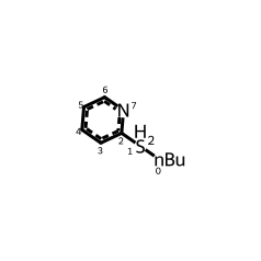 CCCC[SH2]c1ccccn1